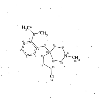 CC(C)c1ccccc1CC1(CCCCl)CCN(C)CC1